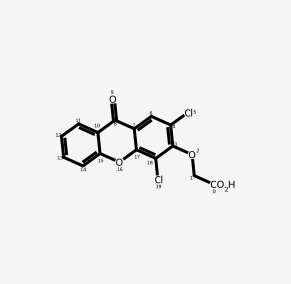 O=C(O)COc1c(Cl)cc2c(=O)c3ccccc3oc2c1Cl